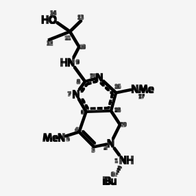 CC[C@@H](C)NN1C=C(NC)c2nc(NCC(C)(C)O)nc(NC)c2C1